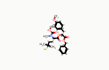 CN(C(=O)OC(C)(C)C)[C@@H](CCC(C)(C)F)C(=O)O[C@H](Cc1ccc(OC(F)(F)F)cc1)C(=O)OCc1ccccc1